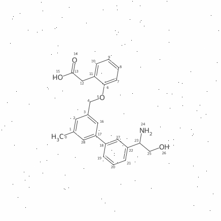 Cc1cc(COc2ccccc2CC(=O)O)cc(-c2cccc(C(N)CO)c2)c1